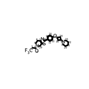 O=C(CC(F)(F)F)N1CCc2nc(-c3ccc(O[C@H]4C[C@H](N5CCCCC5)C4)cc3)sc2C1